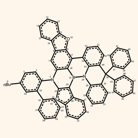 CCCCc1ccc(N2c3cc4c(oc5ccccc54)c4c3B(c3c2sc2ccccc32)N2c3ccccc3C(c3ccccc3)(c3ccccc3)c3cccc-4c32)c(-c2ccccc2)c1